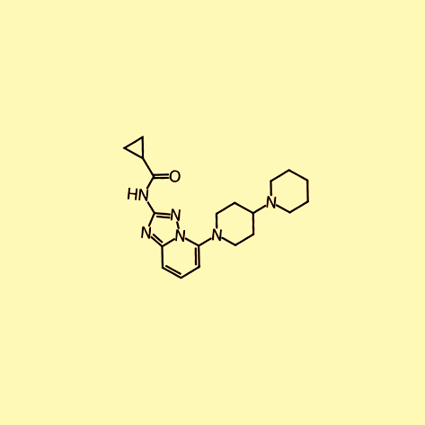 O=C(Nc1nc2cccc(N3CCC(N4CCCCC4)CC3)n2n1)C1CC1